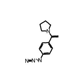 C=C(c1ccc(N=[N+]=[N-])cc1)N1CCCC1